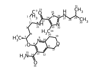 CC[C@@H](CC[C@H](C)Oc1nc2c(cc1C(N)=O)COCC2)NC(=O)c1sc(NCC(C)C)nc1C